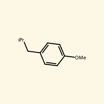 COc1ccc(C[C](C)C)cc1